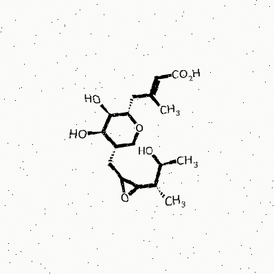 C/C(=C\C(=O)O)C[C@@H]1OC[C@H](CC2OC2[C@@H](C)[C@H](C)O)[C@@H](O)[C@H]1O